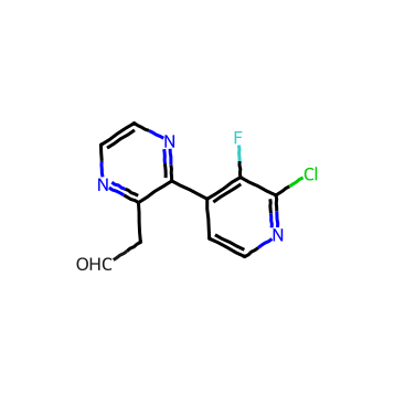 O=CCc1nccnc1-c1ccnc(Cl)c1F